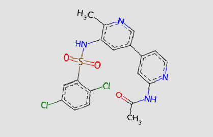 CC(=O)Nc1cc(-c2cnc(C)c(NS(=O)(=O)c3cc(Cl)ccc3Cl)c2)ccn1